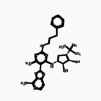 Cc1nc(NCCSc2ccccc2)nc(N[C@@H]2C[C@H](C(C)(C)O)[C@@H](O)[C@H]2O)c1-c1nc2c(C)nccc2s1